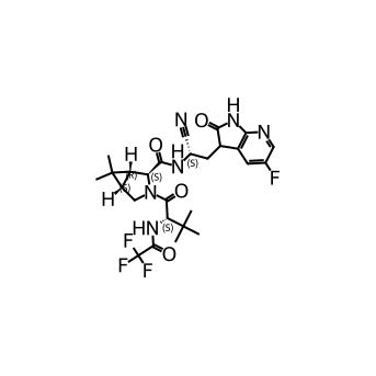 CC(C)(C)[C@H](NC(=O)C(F)(F)F)C(=O)N1C[C@H]2[C@@H]([C@H]1C(=O)N[C@H](C#N)CC1C(=O)Nc3ncc(F)cc31)C2(C)C